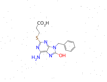 Nc1nc(SCCC(=O)O)nc2c1nc(O)n2Cc1ccccc1